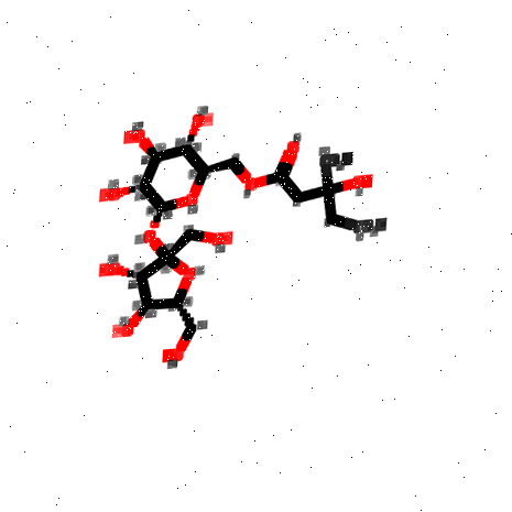 O=C(O)CC(O)(CC(=O)OC[C@H]1O[C@H](O[C@]2(CO)O[C@H](CO)[C@@H](O)[C@@H]2O)[C@H](O)[C@@H](O)[C@@H]1O)C(=O)O